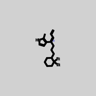 C=C/C=C(/CCCC1CCCCC1(CC)CC)c1cc[nH]c1C